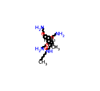 CCCCCCCCNC(=O)CC[C@@H](C)C1CC[C@H]2C3[C@H](OCCCN)CC4C[C@H](OCCCN)CCC4(C)[C@H]3C[C@H](OCCCN)C12C